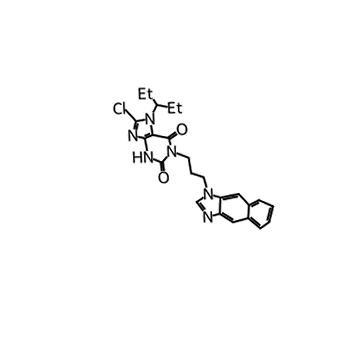 CCC(CC)n1c(Cl)nc2[nH]c(=O)n(CCCn3cnc4cc5ccccc5cc43)c(=O)c21